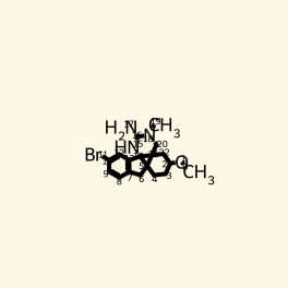 COC1CCC23Cc4ccc(Br)cc4C24NC(N)N(C)CC34C1